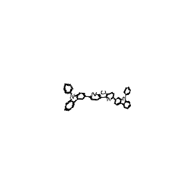 c1ccc(-n2c3ccccc3c3cc(-c4ccc5c(n4)oc4ccc(-c6ccc7c8ccccc8n(-c8ccccc8)c7c6)nc45)ccc32)cc1